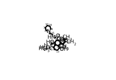 C=C[C@@]1(C)CC(=O)[C@]2(O)[C@@]3(C)[C@@H](O)CCC(C)(C)[C@@H]3[C@H](O)[C@H](C(=O)NCCN3CCCCC3)[C@@]2(C)O1.Cl.O